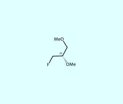 COC[C@@H](CF)OC